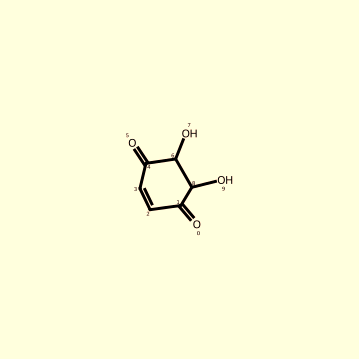 O=C1C=CC(=O)C(O)C1O